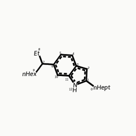 CCCCCCCc1cc2ccc(C(CC)CCCCCC)cc2[nH]1